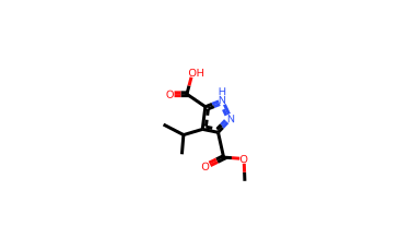 COC(=O)c1n[nH]c(C(=O)O)c1C(C)C